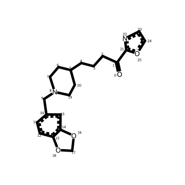 O=C(CCCC1CCN(Cc2ccc3c(c2)OCO3)CC1)c1ncco1